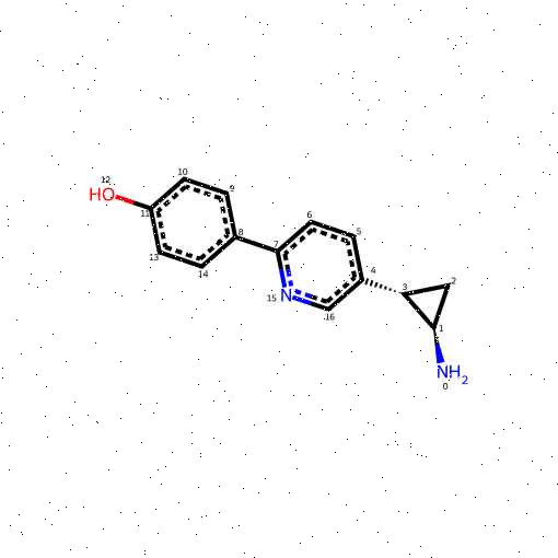 N[C@@H]1C[C@H]1c1ccc(-c2ccc(O)cc2)nc1